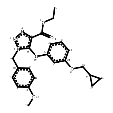 CCOC(=O)c1nnn(Cc2ccc(OC)cc2)c1Oc1cccc(OCC2CC2)c1